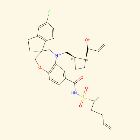 C=CCCC(C)S(=O)(=O)NC(=O)c1ccc2c(c1)N(C[C@@H]1CC[C@@H]1C(O)C=C)CC1(CCc3cc(Cl)ccc31)CO2